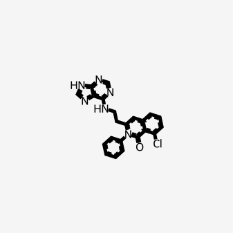 O=c1c2c(Cl)cccc2cc(CCNc2ncnc3[nH]cnc23)n1-c1ccccc1